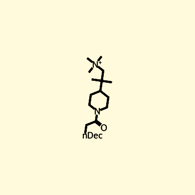 CCCCCCCCCCCC(=O)N1CCC(C(C)(C)C[N+](C)(C)C)CC1